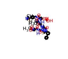 Cc1ncsc1-c1ccc(CNC(=O)[C@@H]2C[C@@H](O)CN2C(=O)[C@@H](NC(=O)CCN2CC(C(=O)NCC3(c4csc(NC(=O)CNC(=O)c5ccn(S(C)(=O)=O)c5)n4)C=CC=C(c4ccccc4)C3)C2)C(C)(C)C)cc1.O=CO